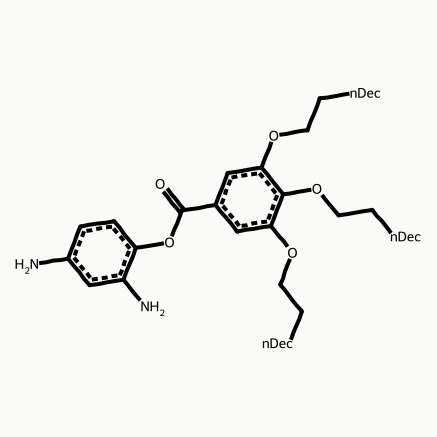 CCCCCCCCCCCCOc1cc(C(=O)Oc2ccc(N)cc2N)cc(OCCCCCCCCCCCC)c1OCCCCCCCCCCCC